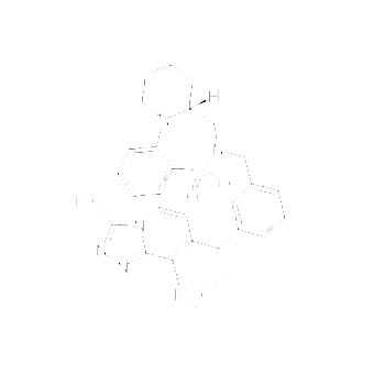 Cc1ccc([C@H](CC(=O)O)c2ccn3c(C(F)(F)F)nnc3c2C)cc1CN1C[C@H]2CCCCN2c2ccccc2S1(=O)=O